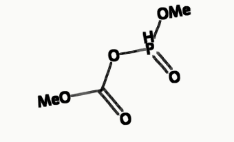 COC(=O)O[PH](=O)OC